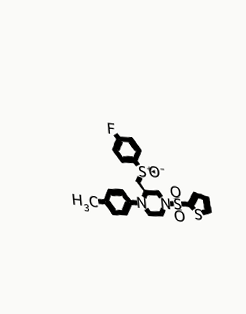 Cc1ccc(N2CCN(S(=O)(=O)c3cccs3)C[C@@H]2C[S@+]([O-])c2ccc(F)cc2)cc1